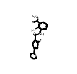 COC(=O)c1cccc(NC(=O)c2ccc(-c3ccccn3)cc2F)c1O